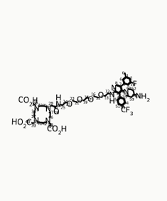 Cc1cc(F)cc(-c2cnc(NCCOCCOCCOCCOCCNC(=O)CN3CCN(CC(=O)O)CCN(CC(=O)O)CCN(CC(=O)O)CC3)c(-c3ccc(C(F)(F)F)cc3)c2N2CCC(N)CC2)c1